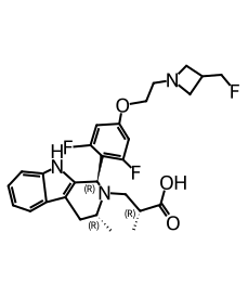 C[C@H](CN1[C@H](c2c(F)cc(OCCN3CC(CF)C3)cc2F)c2[nH]c3ccccc3c2C[C@H]1C)C(=O)O